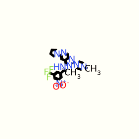 C[C@@H](Nc1nc(N2CCN(C)CC2)nc2cnc(N3CCCC3)cc12)c1cc([N+](=O)[O-])cc(C(F)(F)F)c1